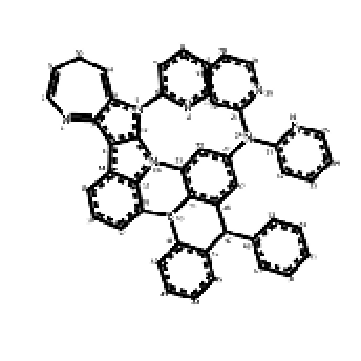 C1=CN=c2c(n(-c3ccccn3)c3c2c2cccc4c2n3-c2cc(N(c3ccccn3)c3ccccn3)cc3c2B4c2ccccc2C3c2ccccc2)=CC1